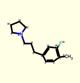 Cc1ccc(CCCN2CCCC2)cc1F